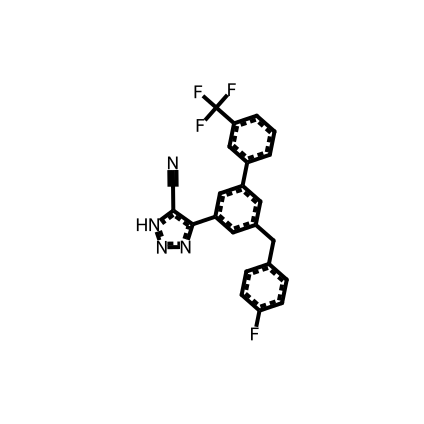 N#Cc1[nH]nnc1-c1cc(Cc2ccc(F)cc2)cc(-c2cccc(C(F)(F)F)c2)c1